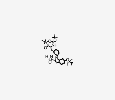 CC(C)(C)OC(=O)NC(Cc1cccc(-n2c(C(N)=O)cc3ccc(OC(F)(F)F)cc32)c1)C(=O)OC(C)(C)C